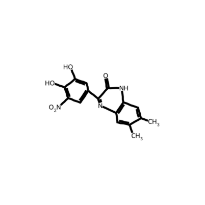 Cc1cc2nc(-c3cc(O)c(O)c([N+](=O)[O-])c3)c(=O)[nH]c2cc1C